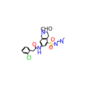 CN(C)/C=N/S(=O)(=O)c1cc(NC(=O)Cc2ccccc2Cl)cc2c1CCN(C=O)C2